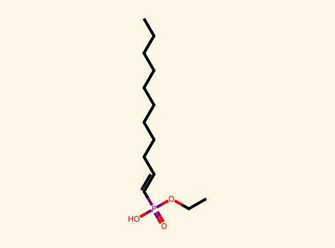 CCCCCCCCCC=CP(=O)(O)OCC